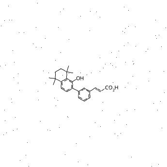 CC1(C)CCC(C)(C)c2c1ccc(-c1cccc(C=CC(=O)O)c1)c2O